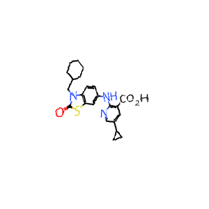 O=C(O)c1cc(C2CC2)cnc1Nc1ccc2c(c1)sc(=O)n2CC1CCCCC1